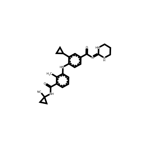 Cc1c(Nc2ccc(C(=O)N=C3NCCCN3)cc2C2CC2)cccc1C(=O)NC1(C#N)CC1